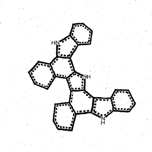 c1ccc2c(c1)[nH]c1c3ccccc3c3c([nH]c4c5c6ccccc6[nH]c5c5ccccc5c43)c21